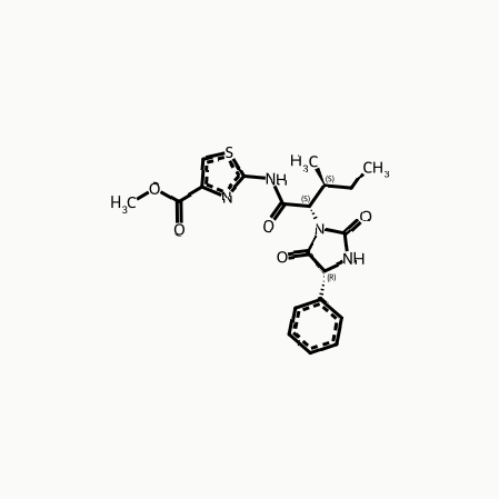 CC[C@H](C)[C@@H](C(=O)Nc1nc(C(=O)OC)cs1)N1C(=O)N[C@H](c2ccccc2)C1=O